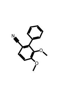 COc1ccc(C#N)c(-c2ccccc2)c1OC